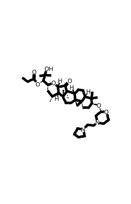 CCC(=O)O[C@@H]([C@H]1C[C@@H](C)[C@H]2[C@H](O1)C(=O)[C@@]1(C)[C@@H]3CC[C@H]4C(C)(C)[C@@H](O[C@H]5CN(CCN6CCCC6)CCO5)CC[C@@]45C[C@@]35CC[C@]21C)C(C)(C)O